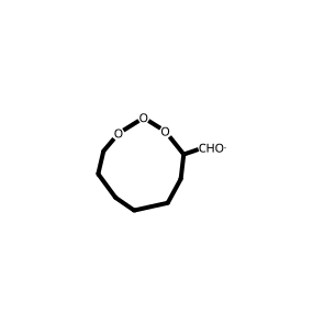 O=[C]C1CCCCCCOOO1